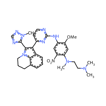 COc1cc(N(C)CCN(C)C)c([N+](=O)[O-])cc1Nc1nccc(-c2c(-c3ncnn3C)n3c4c(cccc24)CCC3)n1